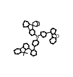 CC1(C)c2ccccc2-c2cccc(-c3ccccc3-c3ccc(N(c4ccc(-c5cccc6oc7ccccc7c56)cc4)c4ccc5c(c4)C4(CC6CCC4C6)c4ccccc4-5)cc3)c21